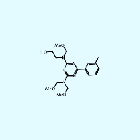 COCN(CCO)c1nc(-c2cccc(C)c2)nc(N(COC)COC)n1